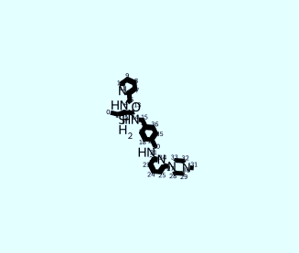 CC1[SiH2][C@]1(NCc1ccccn1)C(=O)NCc1ccc(CNc2cccc(N3CCN(C)CC3)n2)cc1